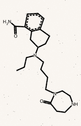 CCCN(CCCCN1CCNCCC1=O)C1CCc2cc[c]c(C(N)=O)c2C1